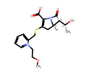 COCC[n+]1ccccc1CSC1=C(C(=O)[O-])N2C(=O)[C@H]([C@@H](C)O)[C@H]2C1